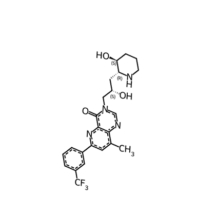 Cc1cc(-c2cccc(C(F)(F)F)c2)nc2c(=O)n(C[C@@H](O)C[C@H]3NCCC[C@@H]3O)cnc12